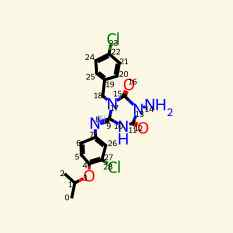 CC(C)Oc1ccc(/N=c2\[nH]c(=O)n(N)c(=O)n2Cc2ccc(Cl)cc2)cc1Cl